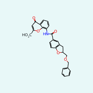 O=C(Nc1cccc2c(=O)cc(C(=O)O)oc12)c1ccc2c(c1)CC(COCc1ccccc1)O2